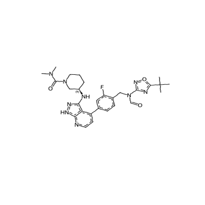 CN(C)C(=O)N1CCC[C@@H](Nc2n[nH]c3nccc(-c4ccc(CN(C=O)c5noc(C(C)(C)C)n5)c(F)c4)c23)C1